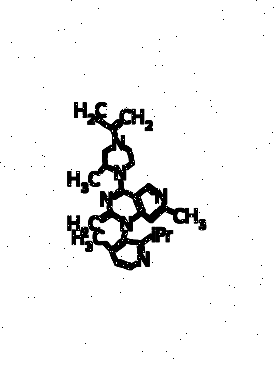 C=CC(=C)N1CCN(C2=NC(=C)N(c3c(C)ccnc3C(C)C)c3cc(C)ncc32)C(C)C1